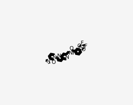 CN(C)c1cccn(-c2ccc3cnc(CNC(=O)c4cccc(S(=O)(=O)C(F)F)c4)cc3n2)c1=O